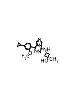 C[C@]1(O)C[C@@H](Nc2nnc(-c3ccc(C4CC4)cc3OC(F)(F)F)c3cncn23)C1